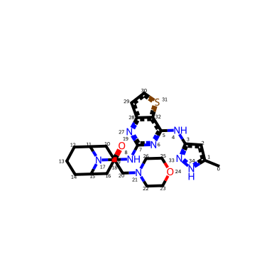 Cc1cc(Nc2nc(NC3CC4CCCC(C3)N4C(=O)CN3CCOCC3)nc3ccsc23)n[nH]1